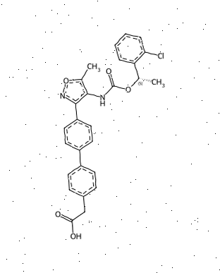 Cc1onc(-c2ccc(-c3ccc(CC(=O)O)cc3)cc2)c1NC(=O)O[C@@H](C)c1ccccc1Cl